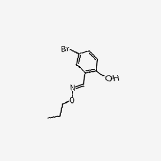 CCCON=Cc1cc(Br)ccc1O